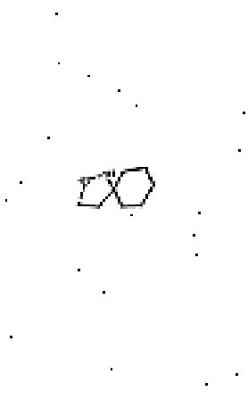 [CH]1CCCC2(C1)CCNN2